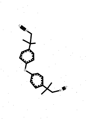 [C-]#[N+]CC(C)(C)c1ccc(Oc2ccc(C(C)(C)C[N+]#[C-])cc2)cc1